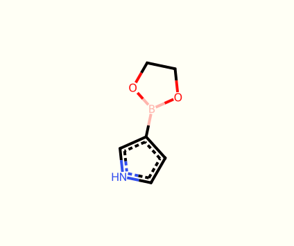 c1cc(B2OCCO2)c[nH]1